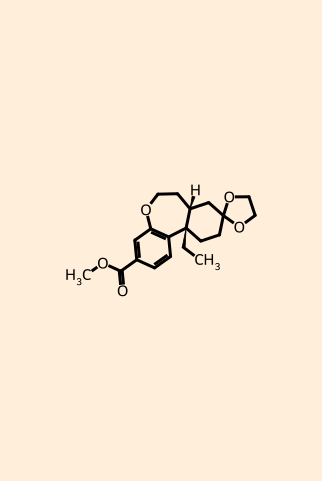 CC[C@]12CCC3(C[C@H]1CCOc1cc(C(=O)OC)ccc12)OCCO3